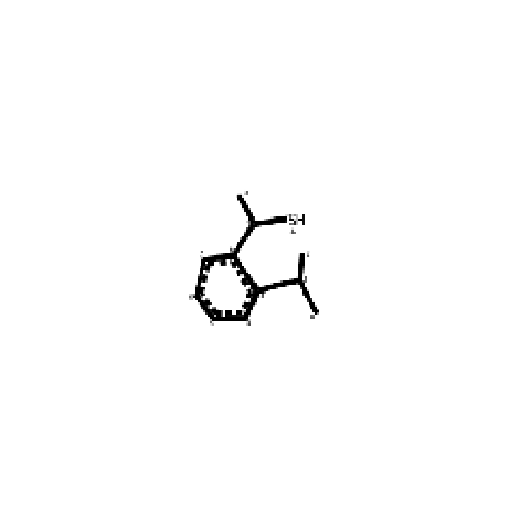 CC(C)c1ccccc1C(C)S